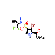 C=CC(NS(=O)(=O)c1cn(C)c(C(=O)OC)c1Br)C(F)F